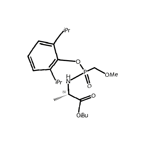 COCP(=O)(N[C@@H](C)C(=O)OCC(C)C)Oc1c(C(C)C)cccc1C(C)C